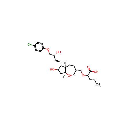 CCCC(OC[C@@H]1CC[C@@H]2[C@@H](C=C[C@@H](O)COc3ccc(Cl)cc3)[C@H](O)C[C@@H]2OC1)C(=O)O